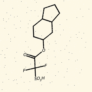 O=C(OC1CCC2CCCC2C1)C(F)(F)S(=O)(=O)O